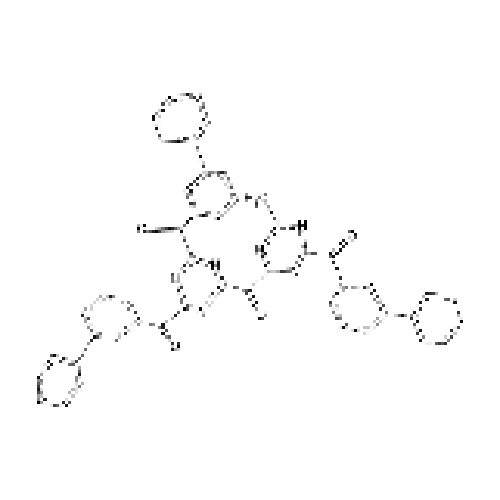 Cc1nc(C(=O)c2cccc(-c3ccccc3)c2)nc(C(=O)c2nc(C(=O)c3cccc(-c4ccccc4)c3)nc(C(=O)c3cccc(-c4ccccc4)c3)n2)n1